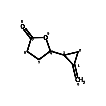 C=C1CC1[C]1CCC(=O)O1